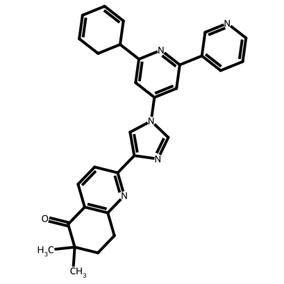 CC1(C)CCc2nc(-c3cn(-c4cc(-c5cccnc5)nc(C5C=CC=CC5)c4)cn3)ccc2C1=O